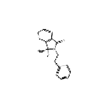 CCCCC1(O)C2=C(C=CCC2)C(=O)N1CCc1ccccc1